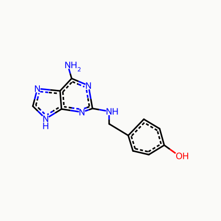 Nc1nc(NCc2ccc(O)cc2)nc2[nH]cnc12